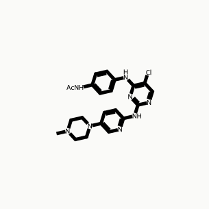 CC(=O)Nc1ccc(Nc2nc(Nc3ccc(N4CCN(C)CC4)cn3)ncc2Cl)cc1